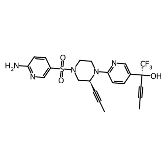 CC#C[C@H]1CN(S(=O)(=O)c2ccc(N)nc2)CCN1c1ccc([C@@](O)(C#CC)C(F)(F)F)cn1